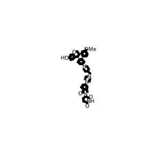 COc1cccc([C@H]2COc3cc(O)ccc3[C@H]2c2ccc(N3CCC(CN4CCN(c5ccc6c(c5)CN(C5CCC(=O)NC5=O)C6=O)CC4)CC3)cc2)c1